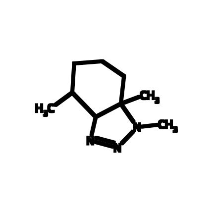 CC1CCCC2(C)C1N=NN2C